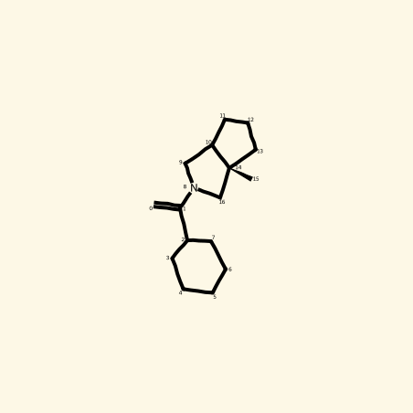 C=C(C1CCCCC1)N1CC2CCC[C@]2(C)C1